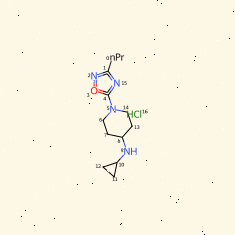 CCCc1noc(N2CCC(NC3CC3)CC2)n1.Cl